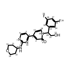 O=c1cc(-c2ccnc(NC3CCOCC3)n2)ccn1C(CO)c1cc(F)cc(F)c1